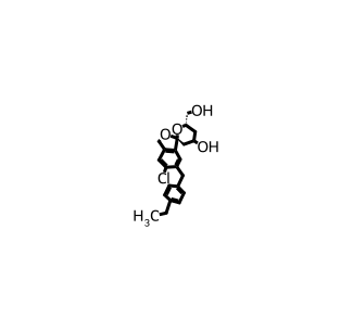 CCc1ccc(Cc2cc3c(cc2Cl)CO[C@@]32CC(O)C[C@@H](CO)O2)cc1